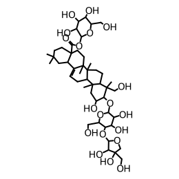 CC1(C)CCC2(C(=O)OC3OC(CO)C(O)C(O)C3O)CCC3(C)C(=CCC4C5(C)CC(O)C(OC6OC(CO)C(OC7OCC(O)(CO)C7O)C(O)C6O)C(C)(CO)C5CCC43C)C2C1